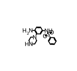 Nc1ccc(NS(=O)(=O)c2ccccc2)cc1N1CCNCC1